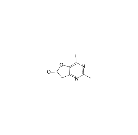 Cc1nc(C)c2c(n1)CC(=O)O2